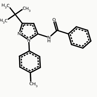 Cc1ccc(-n2nc(C(C)(C)C)cc2NC(=O)c2ccccc2)cc1